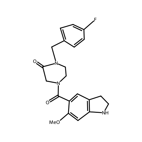 COc1cc2c(cc1C(=O)N1CCN(Cc3ccc(F)cc3)C(=O)C1)CCN2